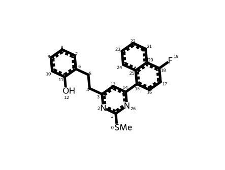 CSc1nc(CCc2ccccc2O)cc(-c2ccc(F)c3ccccc23)n1